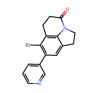 CCc1c(-c2cccnc2)cc2c3c1CCC(=O)N3CC2